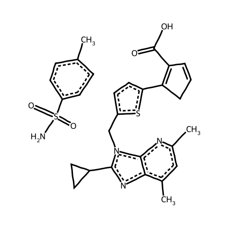 Cc1cc(C)c2nc(C3CC3)n(Cc3ccc(C4=C(C(=O)O)C=CC4)s3)c2n1.Cc1ccc(S(N)(=O)=O)cc1